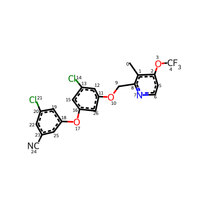 Cc1c(OC(F)(F)F)ccnc1COc1cc(Cl)cc(Oc2cc(Cl)cc(C#N)c2)c1